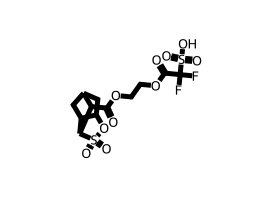 O=C(OCCOC(=O)C(F)(F)S(=O)(=O)O)C1C2CC3OS(=O)(=O)C1C3C2